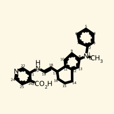 CN(c1ccccc1)c1ccc2c(c1)CCCC2/C=C/Nc1cnccc1C(=O)O